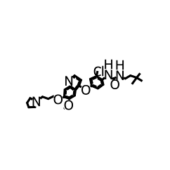 COc1cc2c(Oc3ccc(NC(=O)NCCC(C)(C)C)c(Cl)c3)ccnc2cc1OCCCN1CCCC1